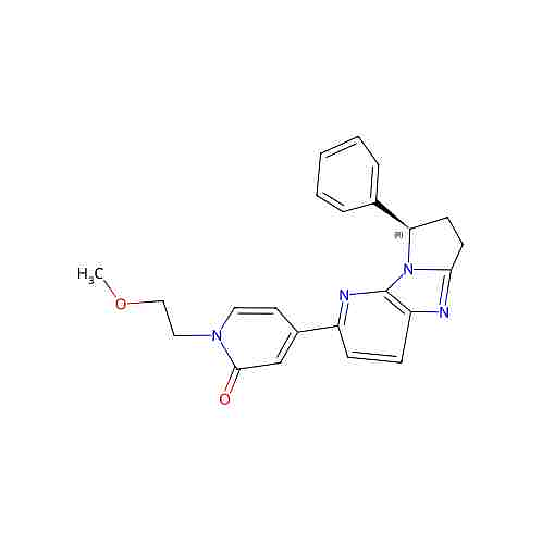 COCCn1ccc(-c2ccc3nc4n(c3n2)[C@@H](c2ccccc2)CC4)cc1=O